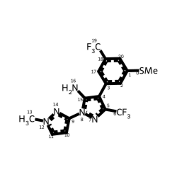 CSc1cc(-c2c(C(F)(F)F)nn(-c3ccn(C)n3)c2N)cc(C(F)(F)F)c1